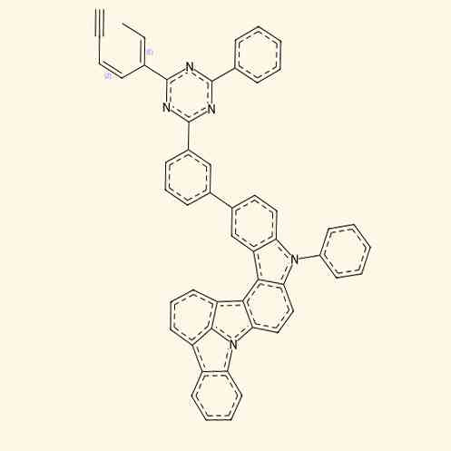 C#C/C=C\C(=C/C)c1nc(-c2ccccc2)nc(-c2cccc(-c3ccc4c(c3)c3c5c6cccc7c8ccccc8n(c5ccc3n4-c3ccccc3)c76)c2)n1